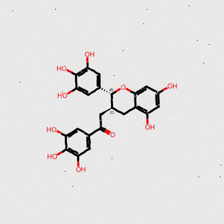 O=C(C[C@@H]1Cc2c(O)cc(O)cc2O[C@H]1c1cc(O)c(O)c(O)c1)c1cc(O)c(O)c(O)c1